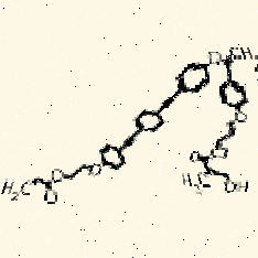 C=CC(=O)OCCOc1ccc(C#Cc2ccc(C#Cc3ccc(OC(=C)c4ccc(OCCCOC(=O)C(C)CO)cc4)cc3)cc2)cc1